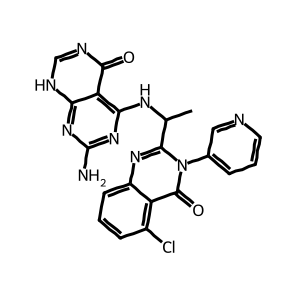 CC(Nc1nc(N)nc2[nH]cnc(=O)c12)c1nc2cccc(Cl)c2c(=O)n1-c1cccnc1